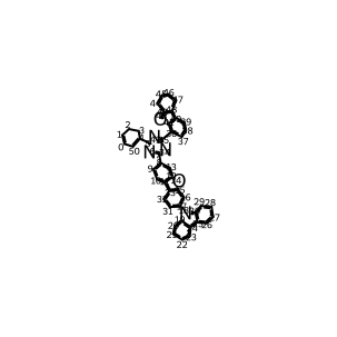 C1=CCCC(c2nc(-c3ccc4c(c3)oc3cc(-n5c6ccccc6c6ccccc65)ccc34)nc(-c3cccc4c3oc3ccccc34)n2)=C1